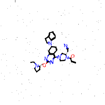 C=CC(=O)N1CCN(c2nc(OC[C@@H]3CCCN3CC)nc3c2CC[C@@H](N2CCc4ccccc42)C3)C[C@@H]1CC#N